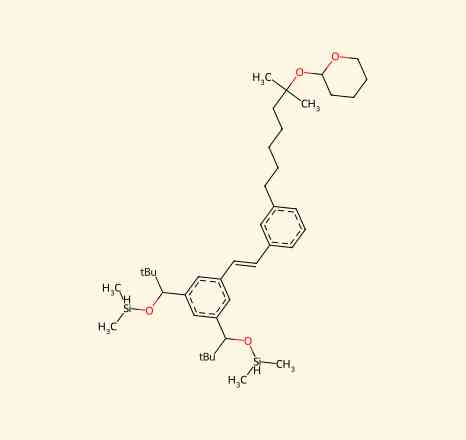 C[SiH](C)OC(c1cc(C=Cc2cccc(CCCCCC(C)(C)OC3CCCCO3)c2)cc(C(O[SiH](C)C)C(C)(C)C)c1)C(C)(C)C